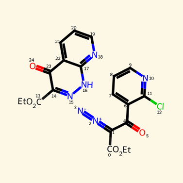 CCOC(=O)C(=[N+]=[N-])C(=O)c1cccnc1Cl.CCOC(=O)c1n[nH]c2ncccc2c1=O